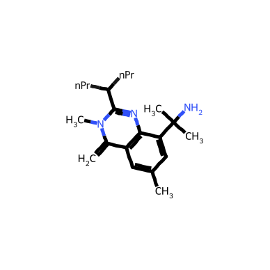 C=C1c2cc(C)cc(C(C)(C)N)c2N=C(C(CCC)CCC)N1C